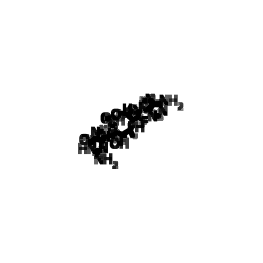 CC1PC2[C@@H](CO[PH](=O)O[C@@H]([C@@H](O)n3cnc4c(=O)[nH]c(N)nc43)[C@H]1F)O[C@@H](n1cnc3c(N)ncnc31)[C@H]2F